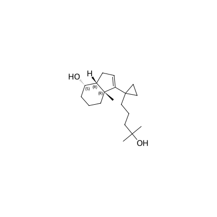 CC(C)(O)CCCC1(C2=CC[C@H]3[C@@H](O)CCC[C@@]23C)CC1